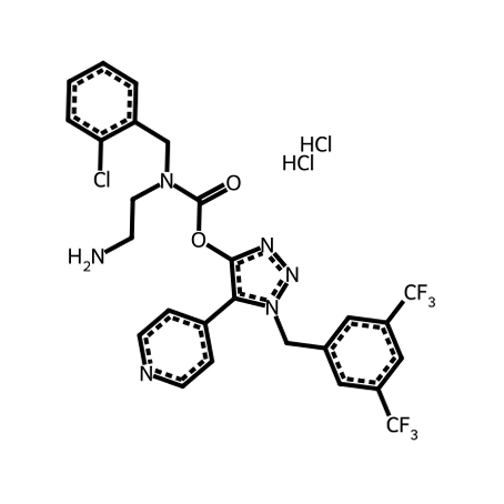 Cl.Cl.NCCN(Cc1ccccc1Cl)C(=O)Oc1nnn(Cc2cc(C(F)(F)F)cc(C(F)(F)F)c2)c1-c1ccncc1